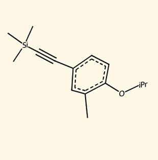 Cc1cc(C#C[Si](C)(C)C)ccc1OC(C)C